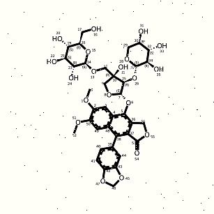 COc1cc2c(O[C@@H]3OC[C@](O)(CO[C@@H]4O[C@H](CO)[C@@H](O)[C@H](O)[C@H]4O)[C@H]3O[C@@H]3OC[C@@H](O)[C@H](O)[C@H]3O)c3c(c(-c4ccc5c(c4)OCO5)c2cc1OC)C(=O)OC3